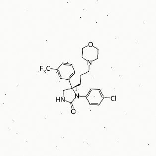 O=C1NC[C@](CCCN2CCOCC2)(c2cccc(C(F)(F)F)c2)N1c1ccc(Cl)cc1